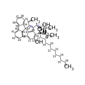 C=C/C(=C\C=C(/C)O)C1(c2ccc(O)c(C(C)(CCCCCCCCCCC)N(CC)CC)c2)c2ccccc2-c2ccccc21